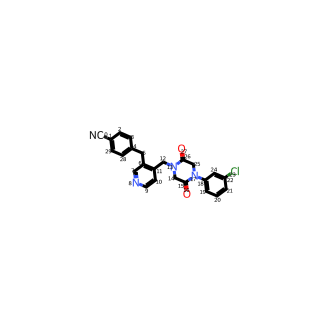 N#Cc1ccc(Cc2cnccc2CN2CC(=O)N(c3cccc(Cl)c3)CC2=O)cc1